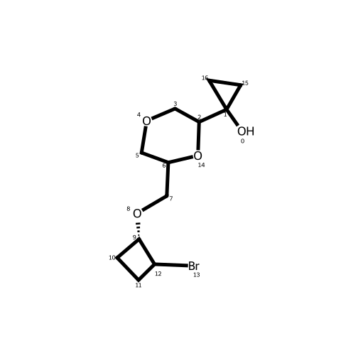 OC1(C2COCC(CO[C@H]3CCC3Br)O2)CC1